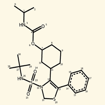 CC(C)NC(=O)OC1CCCC(C2=C(c3cc[c]cc3)SCN2S(=O)(=O)NC(C)(C)C)C1